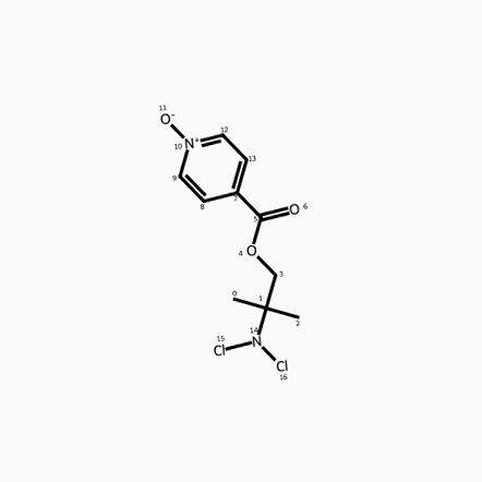 CC(C)(COC(=O)c1cc[n+]([O-])cc1)N(Cl)Cl